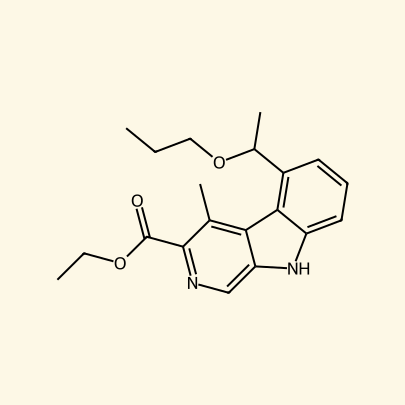 CCCOC(C)c1cccc2[nH]c3cnc(C(=O)OCC)c(C)c3c12